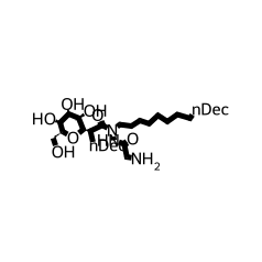 CCCCCCCCCCCCCCCCCCN(NC(=O)CN)C(=O)C(CCCCCCCCCC)[C@@H]1O[C@H](CO)[C@@H](O)[C@H](O)[C@H]1O